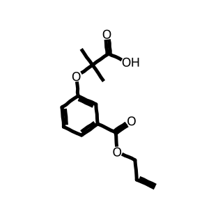 C=CCOC(=O)c1cccc(OC(C)(C)C(=O)O)c1